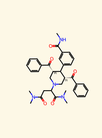 CNC(=O)c1cccc(C2[C@@H](C(=O)c3ccccc3)CN(C(CC(=O)N(C)C)C(=O)N(C)C)C[C@H]2C(=O)c2ccccc2)c1